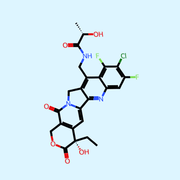 CC[C@@]1(O)C(=O)OCc2c1cc1n(c2=O)Cc2c-1nc1cc(F)c(Cl)c(F)c1c2CNC(=O)[C@H](C)O